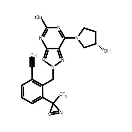 C#Cc1cccc(C2(C(F)(F)F)N=N2)c1Cn1nc2nc(C(C)(C)C)nc(N3CC[C@H](O)C3)c2n1